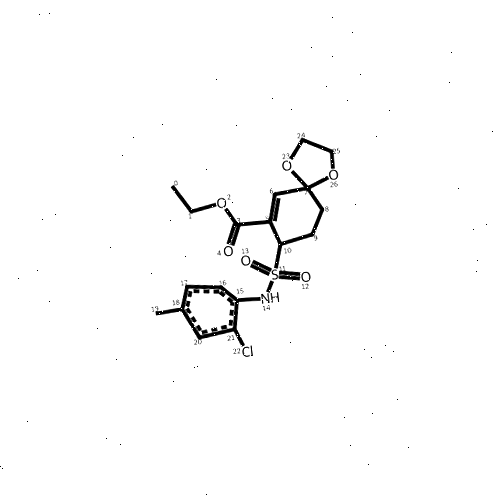 CCOC(=O)C1=CC2(CCC1S(=O)(=O)Nc1ccc(C)cc1Cl)OCCO2